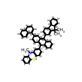 CN1c2ccccc2Sc2ccc(-c3c4ccccc4c(-c4ccc5c(c4)C(C)(C)c4ccccc4-5)c4cc(-c5cccc6ccccc56)ccc34)cc21